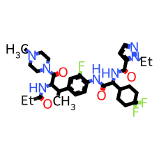 CCC(=O)NC(C(=O)N1CCN(C)CC1)C(C)c1ccc(NC(=O)C(NC(=O)c2ccnn2CC)C2CCC(F)(F)CC2)c(F)c1